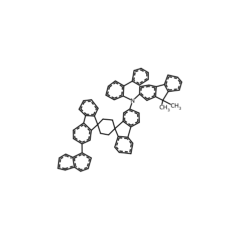 CC1(C)c2ccccc2-c2ccc(N(c3ccc4c(c3)C3(CCC5(CC3)c3ccccc3-c3ccc(-c6cccc7ccccc67)cc35)c3ccccc3-4)c3ccccc3-c3ccccc3)cc21